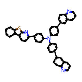 c1cnc2ccc(-c3ccc(N(c4ccc(-c5ccc6ncccc6c5)cc4)c4ccc(-c5ccc6c(n5)sc5ccccc56)cc4)cc3)cc2c1